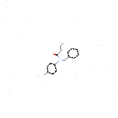 N#Cc1ccc(N(Cc2ccccc2)C(=O)CCC(=O)O)cc1